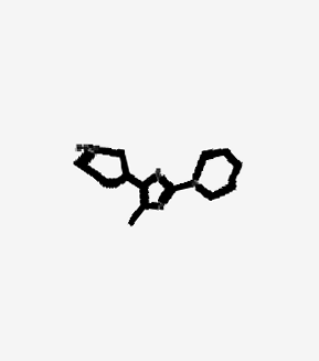 Cc1nc(N2CCCCC2)sc1C1CCNC1